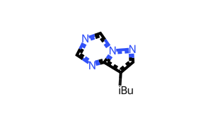 CCC(C)c1cnn2cncnc12